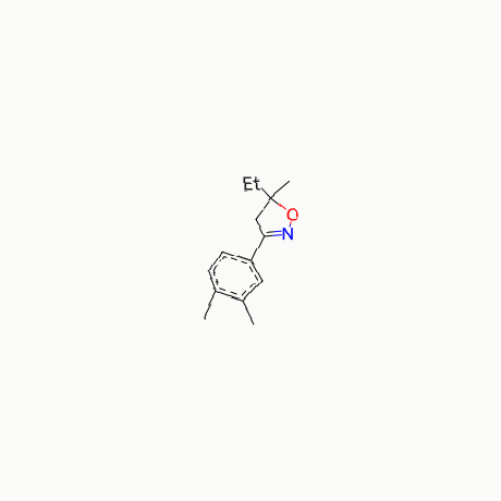 CCC1(C)CC(c2ccc(C)c(C)c2)=NO1